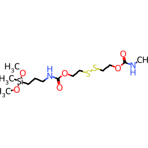 CNC(=O)OCCSSCCOC(=O)NCCC[Si](C)(OC)OC